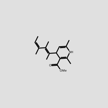 C/C=C(C)\C(C)=C(/C)C1C=C(C)NC(C)=C1C(=O)OC